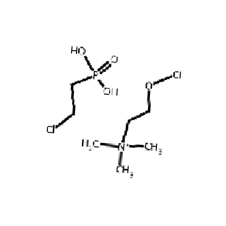 C[N+](C)(C)CCOCl.O=P(O)(O)CCCl